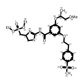 CCOP(=O)(CC1CSC(NC(=O)c2cc(OCCc3ccc(S(C)(=O)=O)cc3)cc(O[C@@H](C)COC)c2)=N1)OCC